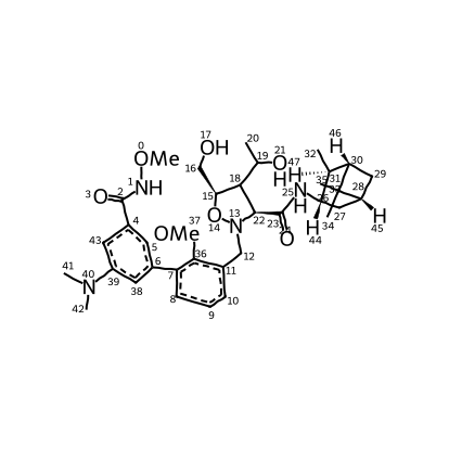 CONC(=O)c1cc(-c2cccc(CN3O[C@@H](CO)C(C(C)O)[C@H]3C(=O)N[C@H]3C[C@H]4C[C@@H]([C@@H]3C)C4(C)C)c2OC)cc(N(C)C)c1